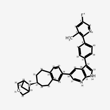 Cc1cc(F)cnc1-c1ccc(-c2c[nH]c3ncc(-c4ccc5c(c4)CC[C@@H](N4C6COCC4C6)CC5)cc23)cc1